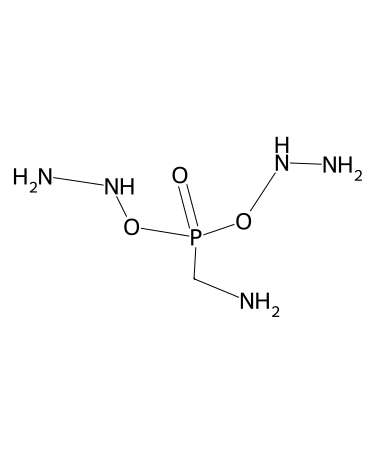 NCP(=O)(ONN)ONN